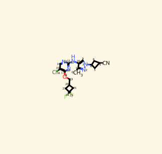 Cc1nn(C2CC(C#N)C2)cc1Nc1ncc(Cl)c(OCC2CC(F)(F)C2)n1